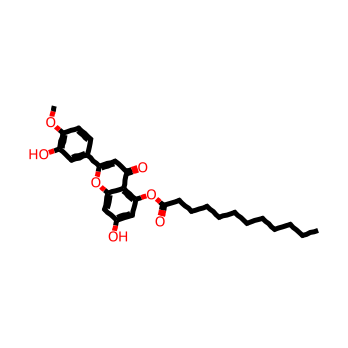 CCCCCCCCCCCC(=O)Oc1cc(O)cc2oc(-c3ccc(OC)c(O)c3)cc(=O)c12